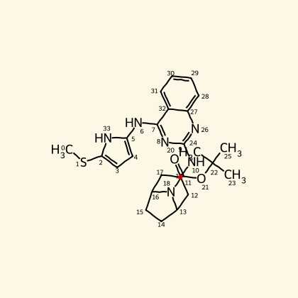 CSc1ccc(Nc2nc(NC3CC4CCC(C3)N4C(=O)OC(C)(C)C)nc3ccccc23)[nH]1